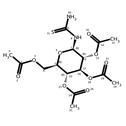 CC(=O)OC[C@H]1O[C@@H](NC(N)=S)[C@H](OC(C)=O)[C@@H](OC(C)=O)[C@@H]1OC(C)=O